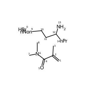 Br.C=C(C)C(=O)N(C)C.CCCCCCCCCCCC(N)CCC